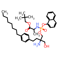 CCCCCCCCc1ccc(CCC(N)(CO)COP(=O)(NC(C)C(=O)OCC(C)(C)C)Oc2cccc3ccccc23)cc1